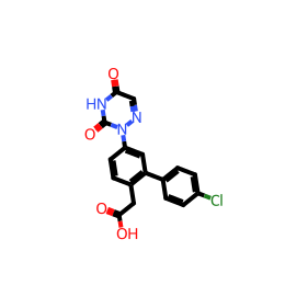 O=C(O)Cc1ccc(-n2ncc(=O)[nH]c2=O)cc1-c1ccc(Cl)cc1